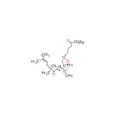 COC(=O)CCCC[C@@H]1C[C@@H]2[C@@H](C=CC(=O)C(C)(C)CC=C(C)C)[C@H](OC(C)=O)C[C@@H]2O1